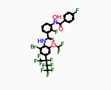 O=C(c1ccc(F)cc1)N(O)c1cccc(C(=S)Nc2c(Br)cc(C(F)(C(F)(F)F)C(F)(F)C(F)(F)F)cc2OC(F)F)c1F